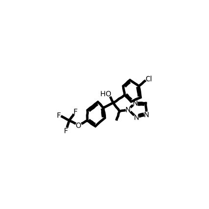 CC(n1ncnn1)C(O)(c1ccc(Cl)cc1)c1ccc(OC(F)(F)F)cc1